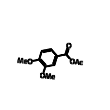 COc1ccc(C(=O)OC(C)=O)cc1OC